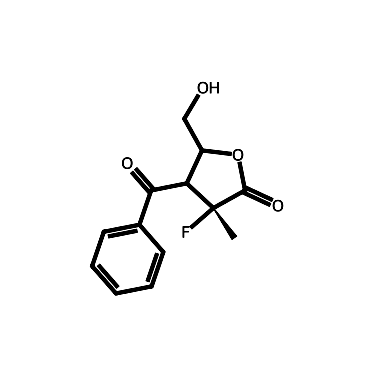 C[C@]1(F)C(=O)OC(CO)C1C(=O)c1ccccc1